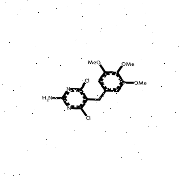 COc1cc(Cc2c(Cl)nc(N)nc2Cl)cc(OC)c1OC